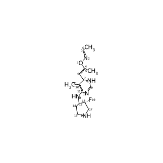 C/C=N/O/C(C)=C/C1NC=NC(NC2CCNC[C@H]2F)=C1C